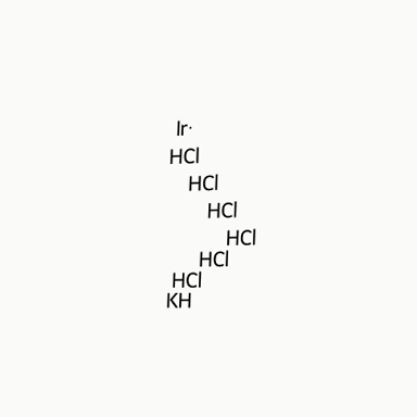 Cl.Cl.Cl.Cl.Cl.Cl.[Ir].[KH]